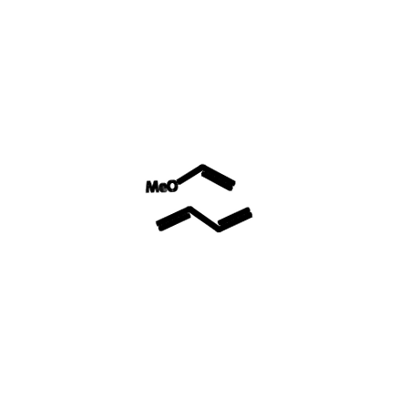 C=CC=C.C=COC